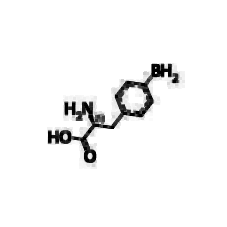 Bc1ccc(C[C@H](N)C(=O)O)cc1